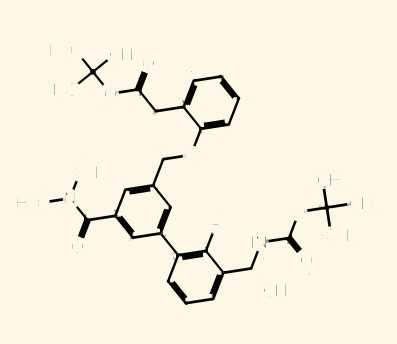 C[C@@H](NC(=O)OC(C)(C)C)c1cccc(-c2cc(COc3ccccc3CC(=O)OC(C)(C)C)cc(C(=O)N(C)C)c2)c1F